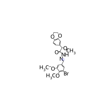 CCOc1cc(/C=N/NC(=O)C(OC)c2ccc3c(c2)OCCO3)cc(Br)c1OC